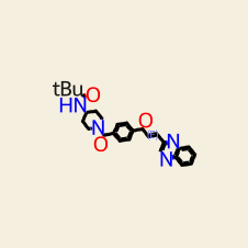 CC(C)(C)C(=O)NC1CCN(C(=O)c2ccc(C(=O)/C=C/c3cnc4ccccc4n3)cc2)CC1